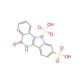 O=c1[nH]c2c3ccc(S(=O)(=O)O)cc3n(S(=O)(=O)O)c2c2ccccc12